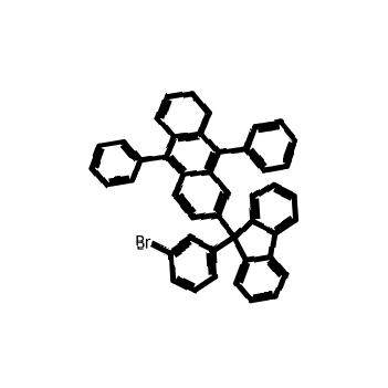 Brc1cccc(C2(c3ccc4c(-c5ccccc5)c5c(c(-c6ccccc6)c4c3)CCC=C5)c3ccccc3-c3ccccc32)c1